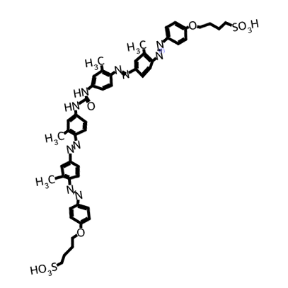 Cc1cc(N=Nc2ccc(NC(=O)Nc3ccc(N=Nc4ccc(/N=N/c5ccc(OCCCCS(=O)(=O)O)cc5)c(C)c4)c(C)c3)cc2C)ccc1N=Nc1ccc(OCCCCS(=O)(=O)O)cc1